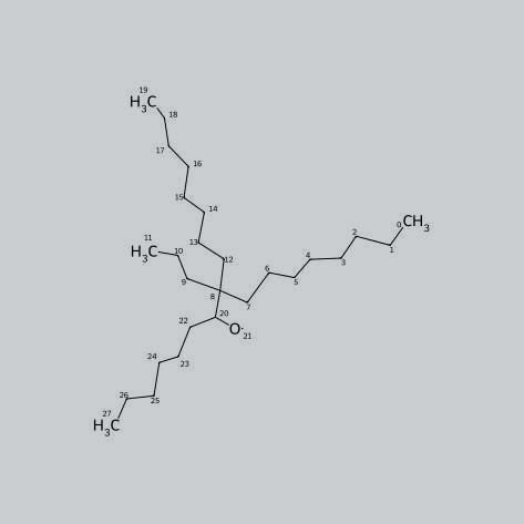 CCCCCCCCC(CCC)(CCCCCCCC)C([O])CCCCCC